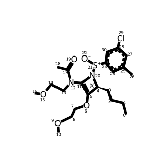 CCCC[C@H]1C(OCCOC)=C(N(CCOC)C(C)=O)N1[S+]([O-])c1cc(C)cc(Cl)c1